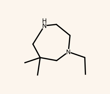 CCN1CCNCC(C)(C)C1